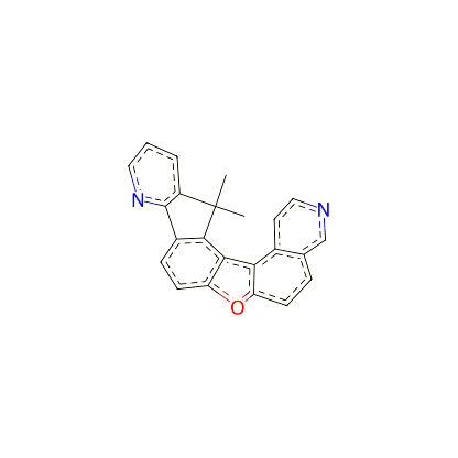 CC1(C)c2cccnc2-c2ccc3oc4ccc5cnccc5c4c3c21